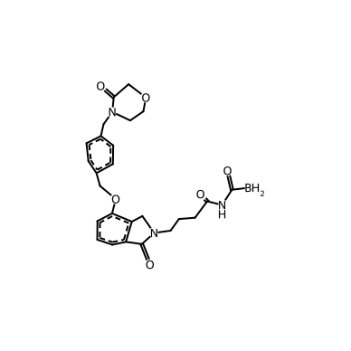 BC(=O)NC(=O)CCCN1Cc2c(OCc3ccc(CN4CCOCC4=O)cc3)cccc2C1=O